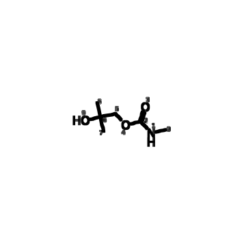 CNC(=O)OCC(C)(C)O